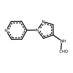 O=CNc1cnn(-c2ccncc2)c1